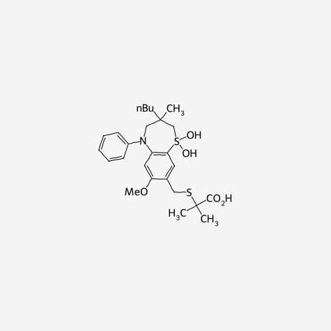 CCCCC1(C)CN(c2ccccc2)c2cc(OC)c(CSC(C)(C)C(=O)O)cc2S(O)(O)C1